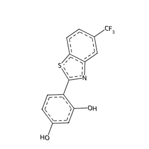 Oc1ccc(-c2nc3cc(C(F)(F)F)ccc3s2)c(O)c1